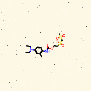 CCN(CC)c1ccc(NC(=O)OCCS(=O)(=O)CS(C)(=O)=O)c(C)c1